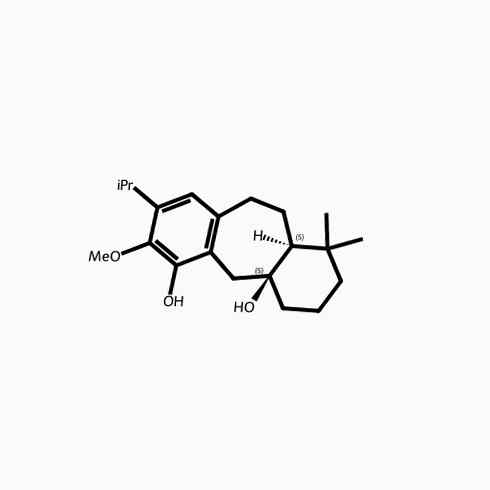 COc1c(C(C)C)cc2c(c1O)C[C@@]1(O)CCCC(C)(C)[C@@H]1CC2